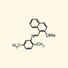 COc1ccc2ccccc2c1C=Nc1cc(C)ccc1C